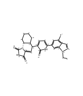 CCn1ncc2c(F)cc(-c3ccc(C(C=C4OC(=O)NC4=O)C4CCCCC4)c(=O)[nH]3)cc21